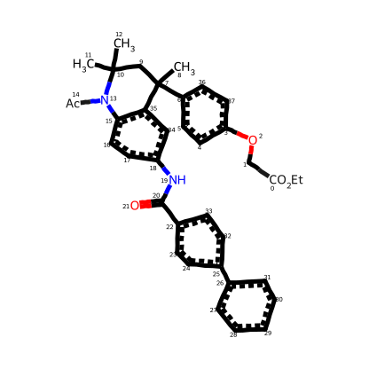 CCOC(=O)COc1ccc(C2(C)CC(C)(C)N(C(C)=O)c3ccc(NC(=O)c4ccc(-c5ccccc5)cc4)cc32)cc1